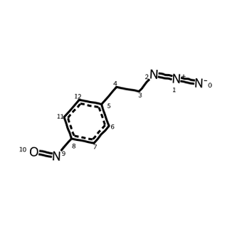 [N-]=[N+]=NCCc1ccc(N=O)cc1